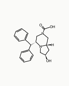 O=C(O)N1C[C@@H]2C[C@@H](O)CN2[C@H](C(c2ccccc2)c2ccccc2)C1